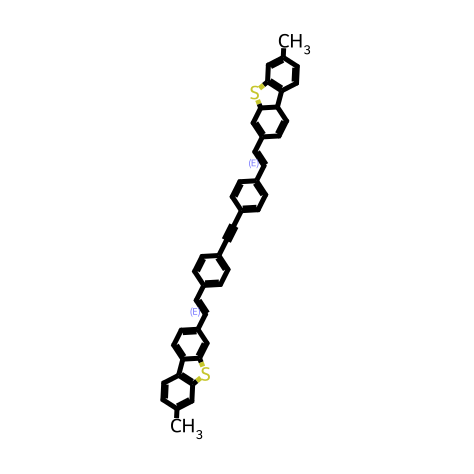 Cc1ccc2c(c1)SC1C=C(/C=C/c3ccc(C#Cc4ccc(/C=C/c5ccc6c(c5)sc5cc(C)ccc56)cc4)cc3)C=CC21